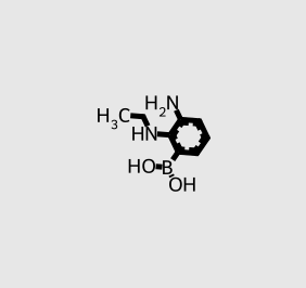 CCNc1c(N)cccc1B(O)O